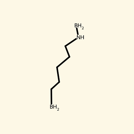 BCCCCCNB